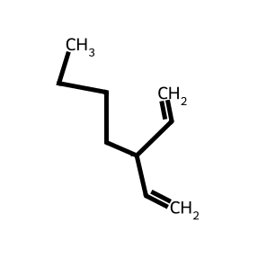 C=C[C](C=C)CCCC